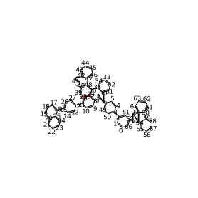 c1cc(-c2ccc(N(c3ccc(-c4ccc(-c5cccc6ccccc56)cc4)cc3)c3ccccc3-c3cccc4sc5ccccc5c34)cc2)cc(-n2c3ccccc3c3ccccc32)c1